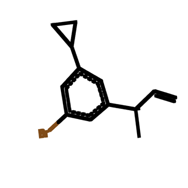 C=C[C](C)c1cc(Br)cc(C2CC2)c1